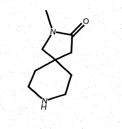 CN1CC2(CCNCC2)CC1=O